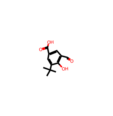 CC(C)(C)c1cc(C(=O)O)cc(C=O)c1O